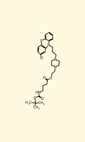 CC(C)(C)OC(=O)NCCCC(=O)OCCN1CCN(CCCN2c3ccccc3Sc3ccc(Cl)cc32)CC1